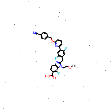 COCCn1c(Cc2cc(F)c(-c3cccc(OCc4ccc(C#N)cc4)n3)cc2F)nc2ccc(C(=O)O)c(F)c21